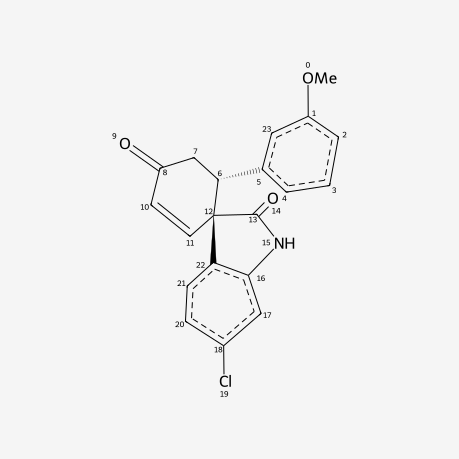 COc1cccc([C@H]2CC(=O)C=C[C@@]23C(=O)Nc2cc(Cl)ccc23)c1